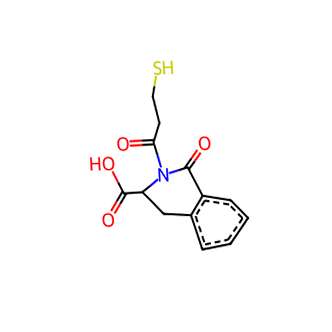 O=C(O)C1Cc2ccccc2C(=O)N1C(=O)CCS